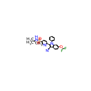 CC(C)(C)NS(=O)(=O)c1ccc(-c2c(C#N)c3ccc(OC(F)F)cc3n2-c2ccccc2)nc1